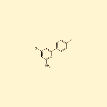 Nc1cc(Cl)cc(-c2ccc(F)cc2)n1